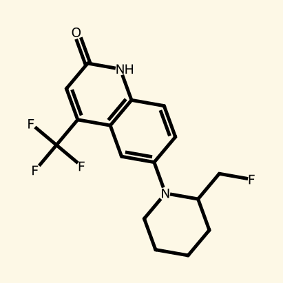 O=c1cc(C(F)(F)F)c2cc(N3CCCCC3CF)ccc2[nH]1